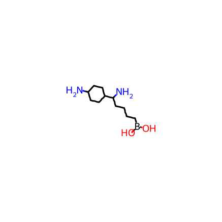 NC1CCC(C(N)CCCCB(O)O)CC1